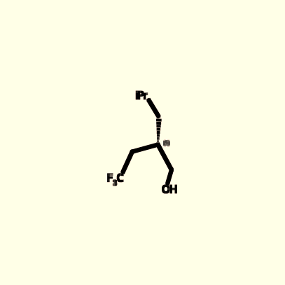 CC(C)C[C@H](CO)CC(F)(F)F